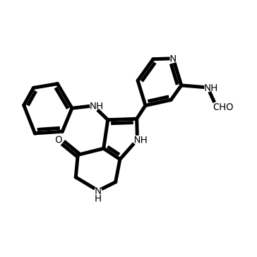 O=CNc1cc(-c2[nH]c3c(c2Nc2ccccc2)C(=O)CNC3)ccn1